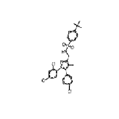 Cc1c(CNS(=O)(=O)c2ccc(C(C)(C)C)cc2)nn(-c2ccc(Cl)cc2Cl)c1-c1ccc(Cl)cc1